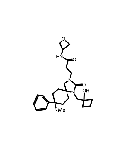 CN[C@]1(c2ccccc2)CC[C@@]2(CC1)CN(CCC(=O)NC1COC1)C(=O)N2CC1(O)CCC1